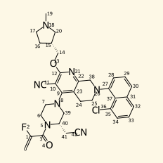 C=C(F)C(=O)N1CCN(c2c(C#N)c(OC[C@@H]3CCN(C)C3)nc3c2CCN(c2cccc4cccc(Cl)c24)C3)C[C@@H]1CC#N